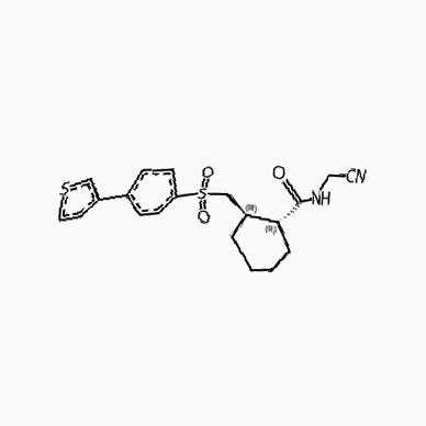 N#CCNC(=O)[C@@H]1CCCC[C@H]1CS(=O)(=O)c1ccc(-c2ccsc2)cc1